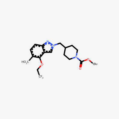 CC(C)(C)OC(=O)N1CCC(Cn2cc3c(OCC(F)(F)F)c(C(=O)O)ccc3n2)CC1